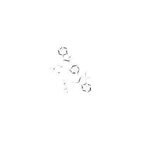 CC1(C)OB(C2=C(c3ccc(C4=C(B5OC(C)(C)C(C)(C)O5)c5ccccc5[Si]4(C)C)cc3)[Si](C)(C)c3ccccc32)OC1(C)C